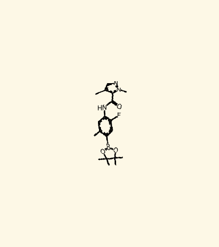 Cc1cc(NC(=O)c2c(C)cnn2C)c(F)cc1B1OC(C)(C)C(C)(C)O1